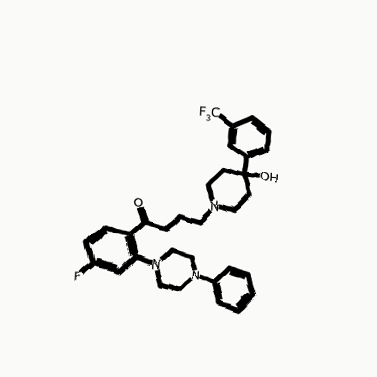 O=C(CCCN1CCC(O)(c2cccc(C(F)(F)F)c2)CC1)c1ccc(F)cc1N1CCN(c2ccccc2)CC1